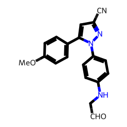 COc1ccc(-c2cc(C#N)nn2-c2ccc(NCC=O)cc2)cc1